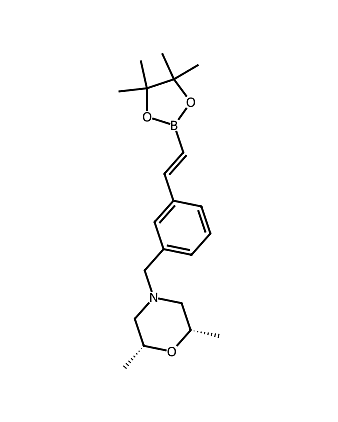 C[C@@H]1CN(Cc2cccc(/C=C/B3OC(C)(C)C(C)(C)O3)c2)C[C@H](C)O1